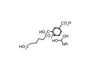 CCCC(O)O.O=C(O)CCCCC(=O)O.O=C(O)c1cccc(C(=O)O)c1